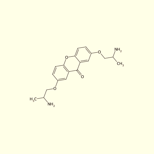 CC(N)COc1ccc2oc3ccc(OCC(C)N)cc3c(=O)c2c1